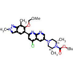 COCOc1c(-c2cc(Cl)c3cc(N4C[C@@H](C)N(C(=O)OC(C)(C)C)[C@@H](C)C4)cnc3n2)cc2cn(C)nc2c1C